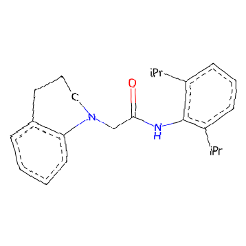 CC(C)c1cccc(C(C)C)c1NC(=O)CN1CCCc2ccccc21